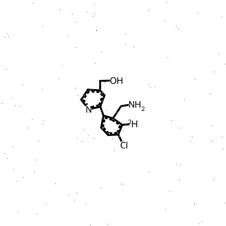 [2H]c1c(Cl)ccc(-c2cc(CO)ccn2)c1CN